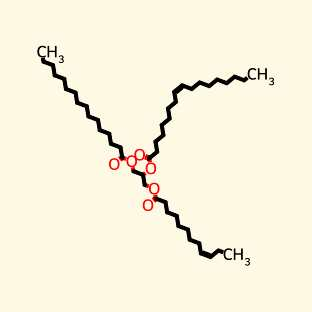 CC/C=C\CCCCCCCC(=O)OCC(COC(=O)CCCCCCCCCCCCCCC)OC(=O)CCCCCCC/C=C\CCCCCCCC